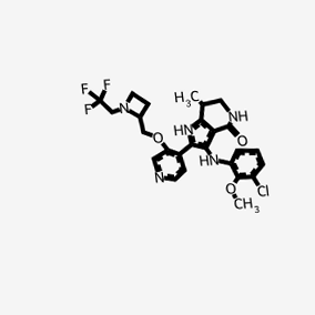 COc1c(Cl)cccc1Nc1c(-c2ccncc2OCC2CCN2CC(F)(F)F)[nH]c2c1C(=O)NCC2C